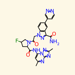 Cc1cc(NC(=O)C2CC(F)CN2C(=O)Cn2nc(C(N)=O)c3cc(-c4ccnnc4)ccc32)n2nc(C)nc2n1